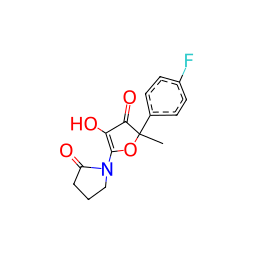 CC1(c2ccc(F)cc2)OC(N2CCCC2=O)=C(O)C1=O